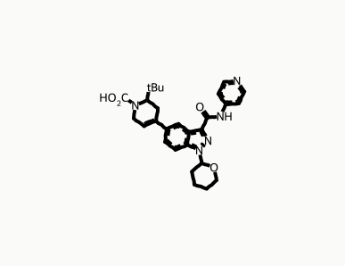 CC(C)(C)C1CC(c2ccc3c(c2)c(C(=O)Nc2ccncc2)nn3C2CCCCO2)=CCN1C(=O)O